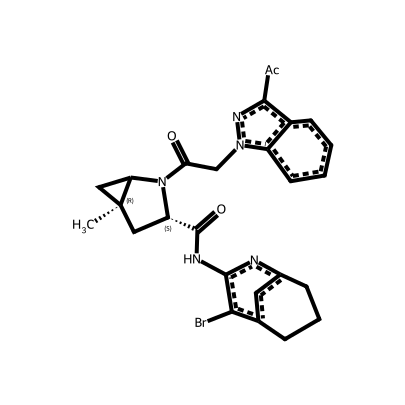 CC(=O)c1nn(CC(=O)N2C3C[C@]3(C)C[C@H]2C(=O)Nc2nc3cc(c2Br)CCC3)c2ccccc12